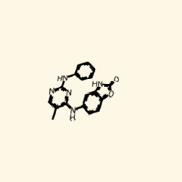 Cc1cnc(Nc2ccccc2)nc1Nc1ccc2oc(=O)[nH]c2c1